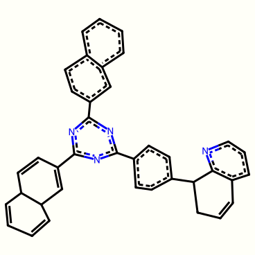 C1=CC2C=CC(c3nc(-c4ccc(C5CC=Cc6cccnc65)cc4)nc(-c4ccc5ccccc5c4)n3)=CC2C=C1